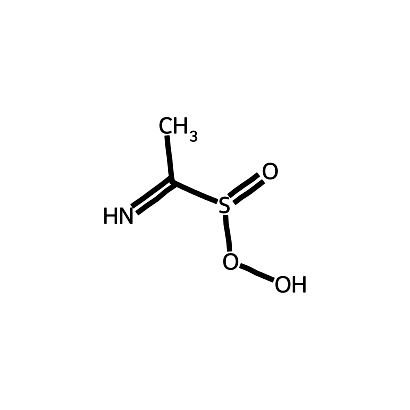 CC(=N)S(=O)OO